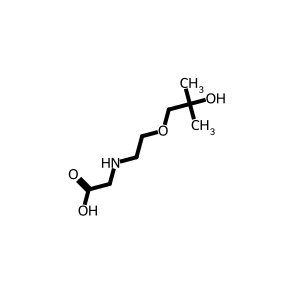 CC(C)(O)COCCNCC(=O)O